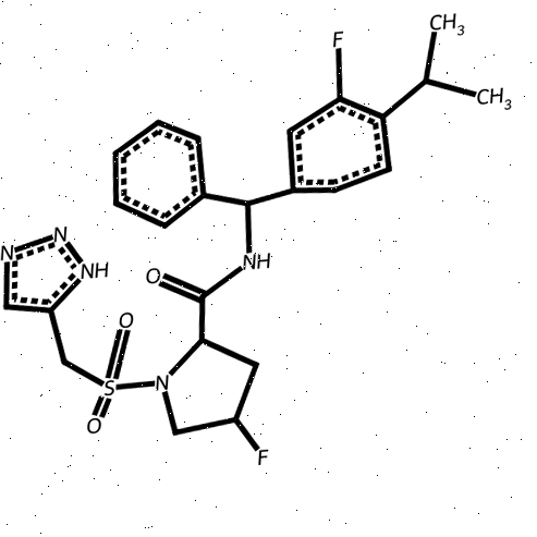 CC(C)c1ccc(C(NC(=O)C2CC(F)CN2S(=O)(=O)Cc2cnn[nH]2)c2ccccc2)cc1F